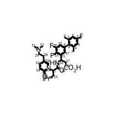 Cc1cc(F)cc(C)c1-c1cc(F)c(F)c(C(CC(=O)O)NC(=O)C(CC(C)C)n2cc(CCN(C)C)ccc2=O)c1